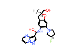 C[C@]1(CO)Cc2cc(NC(O)c3cnn4cccnc34)c(N3CC[C@@H](F)C3)cc2O1